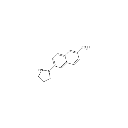 O=C(O)c1ccc2cc(N3CCCN3)ccc2c1